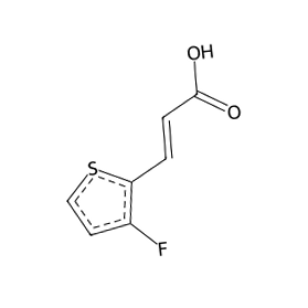 O=C(O)/C=C/c1sccc1F